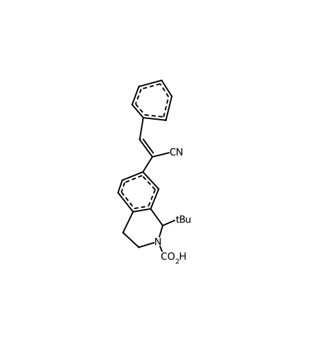 CC(C)(C)C1c2cc(C(C#N)=Cc3ccccc3)ccc2CCN1C(=O)O